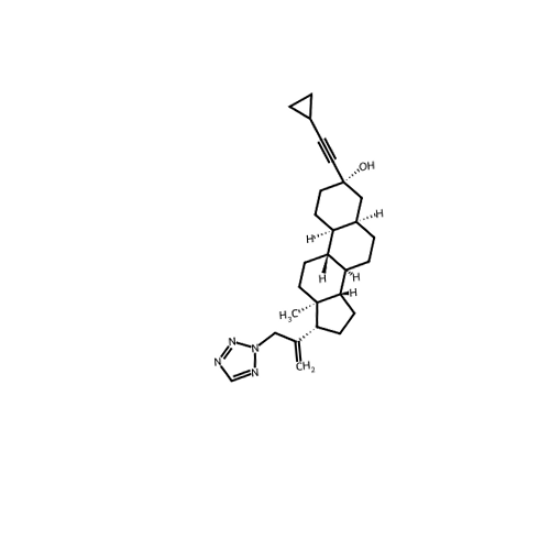 C=C(Cn1ncnn1)[C@H]1CC[C@H]2[C@@H]3CC[C@@H]4C[C@](O)(C#CC5CC5)CC[C@@H]4[C@H]3CC[C@]12C